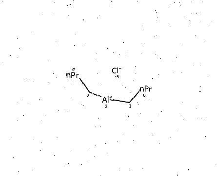 CCC[CH2][Al+][CH2]CCC.[Cl-]